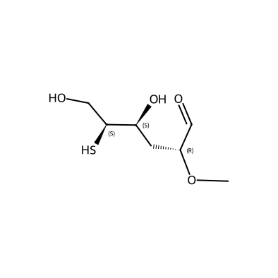 CO[C@@H](C=O)C[C@H](O)[C@@H](S)CO